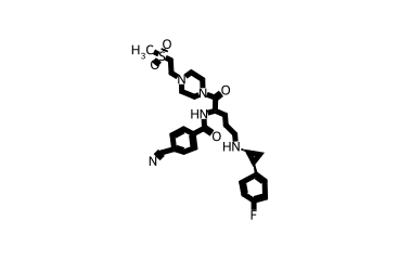 CS(=O)(=O)CCN1CCN(C(=O)C(CCCN[C@@H]2C[C@H]2c2ccc(F)cc2)NC(=O)c2ccc(C#N)cc2)CC1